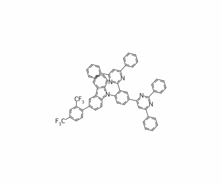 FC(F)(F)c1ccc(-c2ccc3c(c2)c2ccccc2n3-c2ccc(-c3cc(-c4ccccc4)nc(-c4ccccc4)n3)cc2-c2nc(-c3ccccc3)cc(-c3ccccc3)n2)c(C(F)(F)F)c1